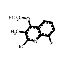 CCOC(=O)Oc1c(C)c(CC)nc2c(F)cccc12